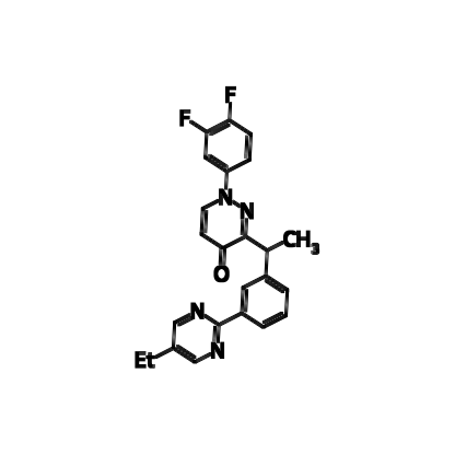 CCc1cnc(-c2cccc(C(C)c3nn(-c4ccc(F)c(F)c4)ccc3=O)c2)nc1